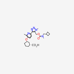 Cc1nc(-c2nnn(C)c2COC(=O)N(C)CC2CCC2)ccc1O[C@H]1CCC[C@@H](C(=O)O)C1